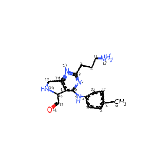 Cc1ccc(Nc2nc(CCCN)nc3c2C(C=O)NC3)cc1